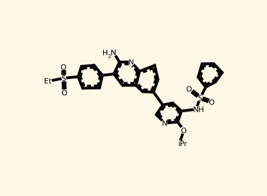 CCS(=O)(=O)c1ccc(-c2cc3cc(-c4cnc(OC(C)C)c(NS(=O)(=O)c5ccccc5)c4)ccc3nc2N)cc1